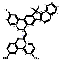 CC(C)(C)c1ccc2c(c1)-c1cc(C(C)(C)C)cc[n+]1/C(=C/C1C[n+]3ccc(C(C)(C)C)cc3-c3cc4c(cc31)-c1ccc3ccccc3c1C4(C)C)C2